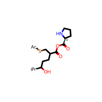 CC(=O)SCC(CCC(O)C(C)C)C(=O)OC(=O)[C@@H]1CCCN1